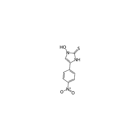 O=[N+]([O-])c1ccc(-c2cn(O)c(=S)[nH]2)cc1